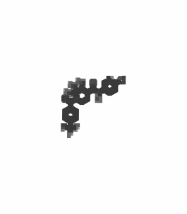 [2H]C1C(C(=O)Nc2ccc(Cl)nc2)CCN(C(=O)c2ccc(C(F)(F)F)cc2)C1([2H])[2H]